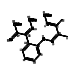 CON=C(C)C(C)=NOc1ccccc1C(=NOC)C(=O)OC